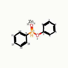 O=[PH](Oc1ccccc1)c1ccccc1.[Zn]